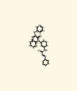 O=C(/C=C/c1ccccc1)Nc1cccc(-n2c(=O)c(Cc3cccnc3)nc3cccnc32)c1